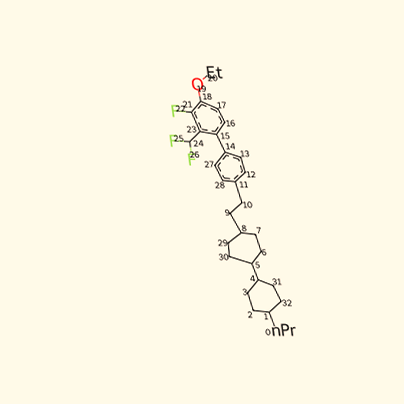 CCCC1CCC(C2CCC(CCc3ccc(-c4ccc(OCC)c(F)c4C(F)F)cc3)CC2)CC1